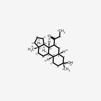 CCC(=O)C1C[C@@H]2C[C@](C)(O)CC[C@@H]2[C@H]2CC[C@]3(C)CCC[C@H]3[C@H]12